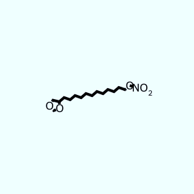 O=[N+]([O-])OCCCCCCCCCCCCC1COCO1